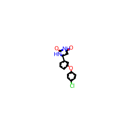 O=c1cc(-c2cccc(Oc3ccc(Cl)cc3)c2)[nH]c(=O)[nH]1